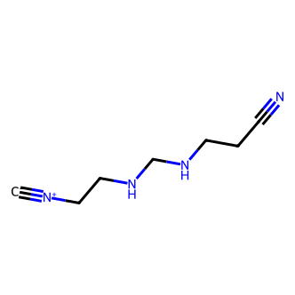 [C-]#[N+]CCNCNCCC#N